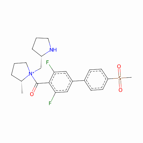 C[C@@H]1CCC[N+]1(C[C@@H]1CCCN1)C(=O)c1c(F)cc(-c2ccc(S(C)(=O)=O)cc2)cc1F